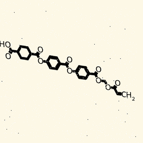 C=CC(=O)OCOC(=O)c1ccc(OC(=O)c2ccc(OC(=O)C3CCC(C(=O)O)CC3)cc2)cc1